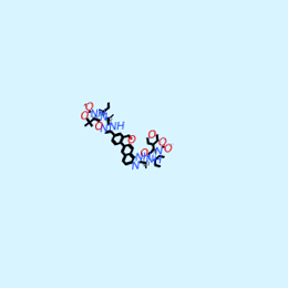 CCC(CC)N(C(=O)[C@@H](NC(=O)OC)C1CCOCC1)[C@@H](C)c1nc2ccc3cc4c(cc3c2[nH]1)OCc1cc(-c2cnc([C@H](C)N(C(=O)[C@@H](NC(=O)OC)C(C)(C)C)[C@@H](C)CC)[nH]2)ccc1-4